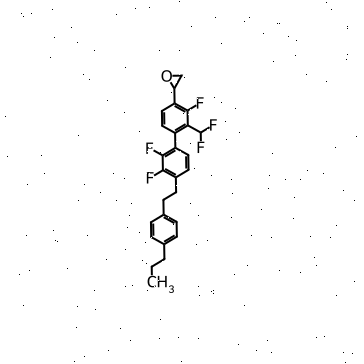 CCCc1ccc(CCc2ccc(-c3ccc(C4CO4)c(F)c3C(F)F)c(F)c2F)cc1